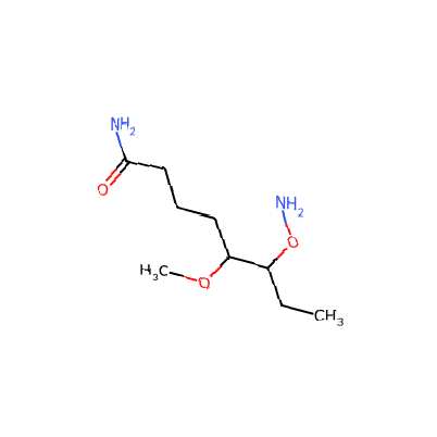 CCC(ON)C(CCCC(N)=O)OC